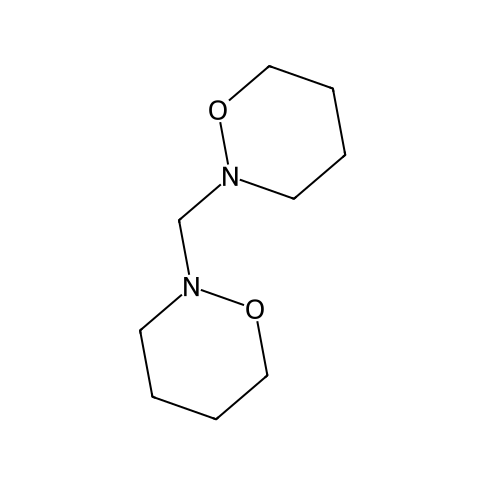 C1CCN(CN2CCCCO2)OC1